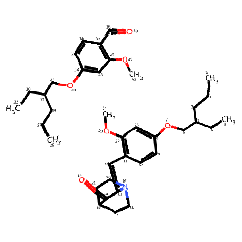 CCCC(CC)COc1ccc(C=C2C(=O)C3CCN2CC3)c(OC)c1.CCCC(CC)COc1ccc(C=O)c(OC)c1